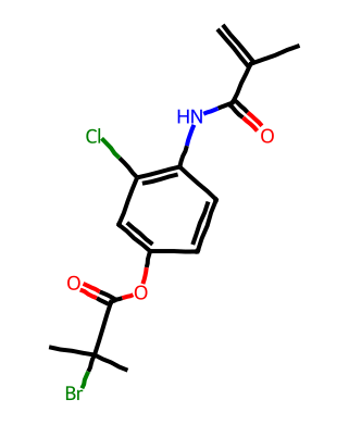 C=C(C)C(=O)Nc1ccc(OC(=O)C(C)(C)Br)cc1Cl